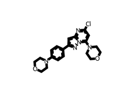 Clc1cc(N2CCOCC2)n2nc(-c3ccc(N4CCOCC4)cc3)cc2n1